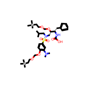 CC(C)CN(C[C@H](OCOCC[Si](C)(C)C)[C@H](Cc1ccccc1)NC(=O)O)S(=O)(=O)c1ccc(OCOCC[Si](C)(C)C)c(N(C)C)c1